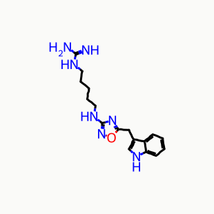 N=C(N)NCCCCCNc1noc(Cc2c[nH]c3ccccc23)n1